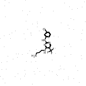 NCCCNc1nc(Nc2cccc(Cl)c2)ncc1C(F)(F)F